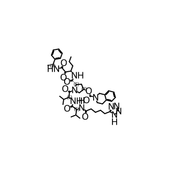 CCCC(NC(=O)[C@@H]1C[C@@H](OC(=O)N2CCc3ccccc3C2)CN1C(=O)[C@@H](NC(=O)[C@@H](NC(=O)CCCCc1nnn[nH]1)C(C)C)C(C)C)C(=O)C(=O)N[C@@H](C)c1ccccc1